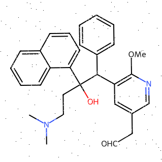 COc1ncc(CC=O)cc1C(c1ccccc1)C(O)(CCN(C)C)c1cccc2ccccc12